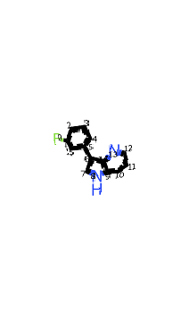 Fc1cccc(-c2c[nH]c3cccnc23)c1